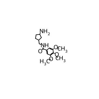 COc1cc(C(=O)NCC2CCC(N)C2)cc(OC)c1OC